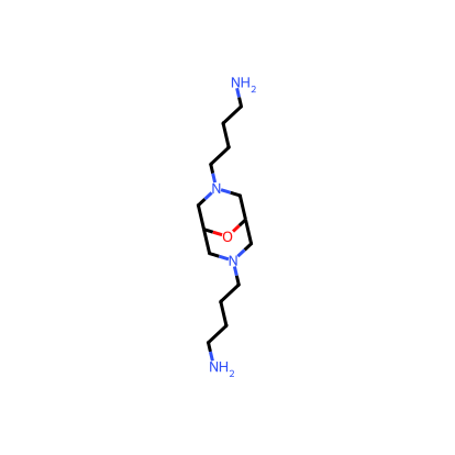 NCCCCN1CC2CN(CCCCN)CC(C1)O2